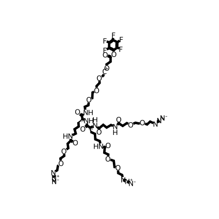 [N-]=[N+]=NCCOCCOCCC(=O)NCCCC[C@H](NC(=O)CCCNC(=O)CCOCCOCCN=[N+]=[N-])C(=O)N[C@@H](CCCCNC(=O)CCOCCOCCN=[N+]=[N-])C(=O)NCCOCCOCCOCCOCCC(=O)Oc1c(F)c(F)c(F)c(F)c1F